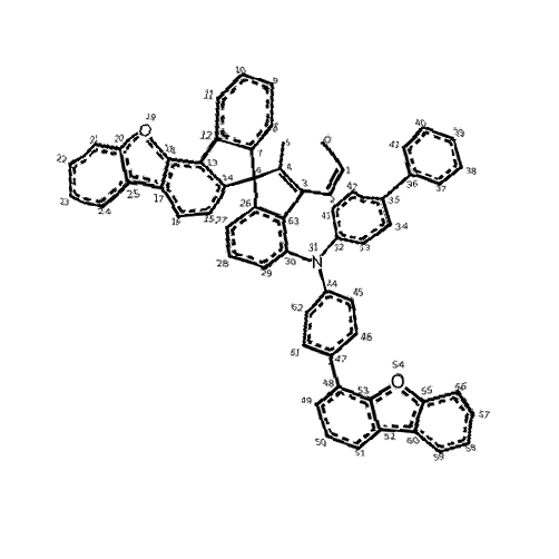 C/C=C\C1=C(C)C2(c3ccccc3-c3c2ccc2c3oc3ccccc32)c2cccc(N(c3ccc(-c4ccccc4)cc3)c3ccc(-c4cccc5c4oc4ccccc45)cc3)c21